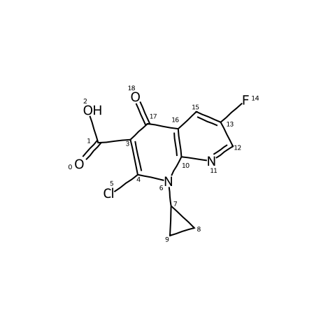 O=C(O)c1c(Cl)n(C2CC2)c2ncc(F)cc2c1=O